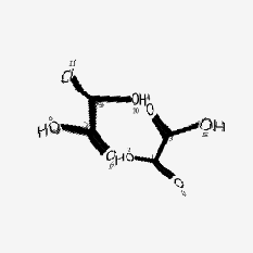 O=C(O)C(=O)O.O=C(O)C(O)Cl